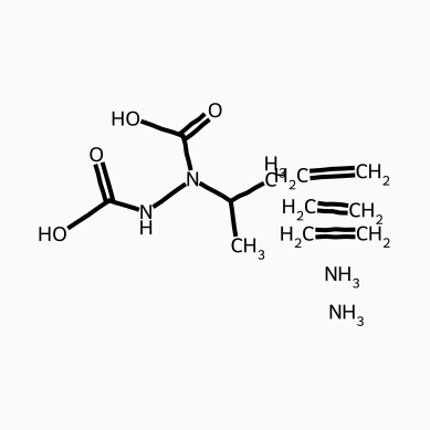 C=C.C=C.C=C.CC(C)N(NC(=O)O)C(=O)O.N.N